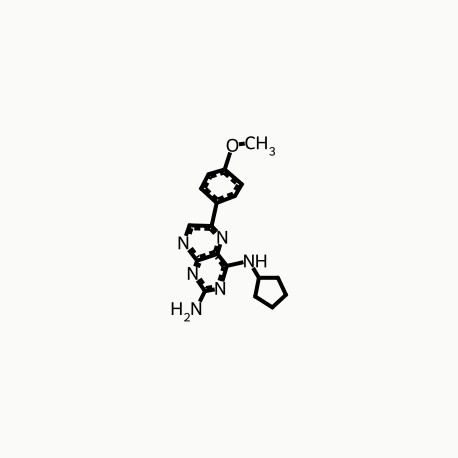 COc1ccc(-c2cnc3nc(N)nc(NC4CCCC4)c3n2)cc1